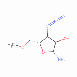 COC[C@H]1O[C@@H](N)C(O)C1N=[N+]=[N-]